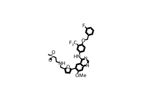 COc1cc2ncnc(Nc3ccc(OCc4cccc(F)c4)c(C(F)(F)F)c3)c2cc1-c1ccc(CNCCS(C)(=O)=O)o1